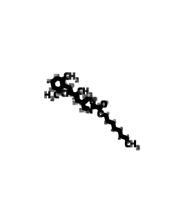 CCCCCCCCOC(=O)c1ncc(/C=C(\C)C=CC2=C(C)CCCC2(C)C)cn1